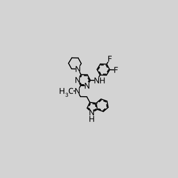 CN(CCc1c[nH]c2ccccc12)c1nc(Nc2ccc(F)c(F)c2)cc(N2CCCCC2)n1